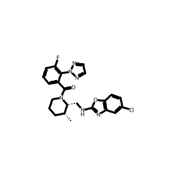 C[C@@H]1CCCN(C(=O)c2cccc(F)c2-n2nccn2)[C@@H]1CNc1nc2cc(Cl)ccc2o1